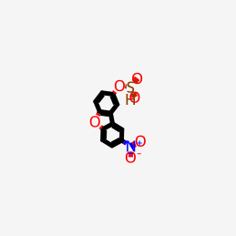 O=[N+]([O-])c1ccc2oc3ccc(O[SH](=O)=O)cc3c2c1